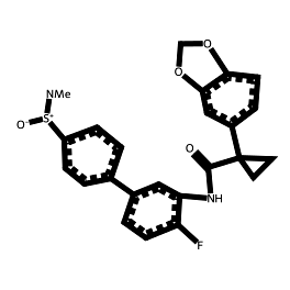 CN[S+]([O-])c1ccc(-c2ccc(F)c(NC(=O)C3(c4ccc5c(c4)OCO5)CC3)c2)cc1